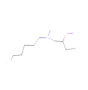 CCCCCCCCCCCCCCN(C)CC(CS(=O)(=O)O)ON